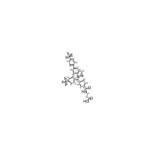 O=C(O)CCNC(=O)c1ccc(C(c2ccc(C(F)(F)F)cc2)n2ncc3cc(-c4ccc(C(F)(F)F)cc4)ccc32)cc1